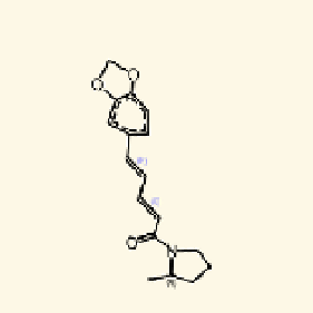 C[C@@H]1CCCN1C(=O)/C=C/C=C/c1ccc2c(c1)OCO2